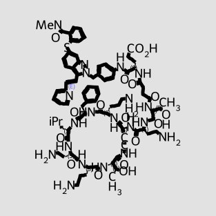 CNC(=O)c1ccccc1Sc1ccc2c(/C=C/c3ccccn3)n(Cc3ccc(NC(=O)[C@H](CCC(=O)O)NC(=O)CCC(=O)N[C@H](C(=O)N[C@@H](CCN)C(=O)N[C@H]4CCNC(=O)[C@H]([C@@H](C)O)NC(=O)[C@H](CCCN)NC(=O)[C@H](CCN)NC(=O)[C@H](CC(C)C)NC(=O)[C@@H](Cc5ccccc5)NC(=O)[C@H](CCCN)NC4=O)[C@@H](C)O)cc3)nc2c1